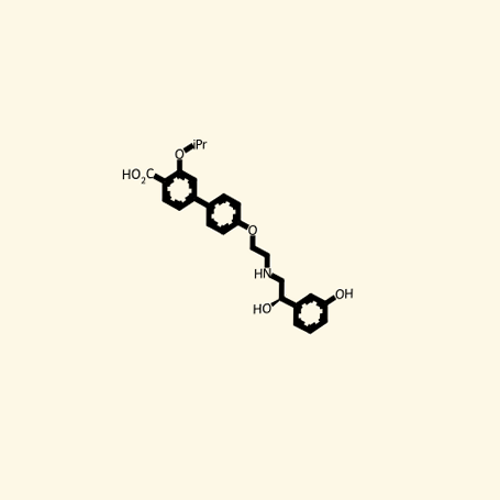 CC(C)Oc1cc(-c2ccc(OCCNC[C@H](O)c3cccc(O)c3)cc2)ccc1C(=O)O